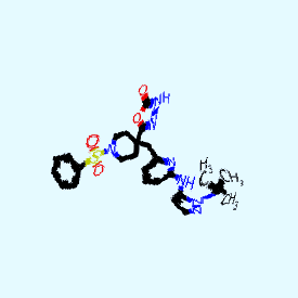 CC(C)(C)n1nccc1Nc1cccc(CC2(c3n[nH]c(=O)o3)CCN(S(=O)(=O)c3ccccc3)CC2)n1